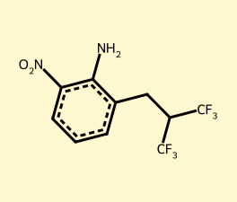 Nc1c(CC(C(F)(F)F)C(F)(F)F)cccc1[N+](=O)[O-]